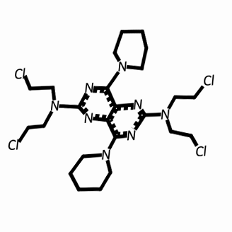 ClCCN(CCCl)c1nc(N2CCCCC2)c2nc(N(CCCl)CCCl)nc(N3CCCCC3)c2n1